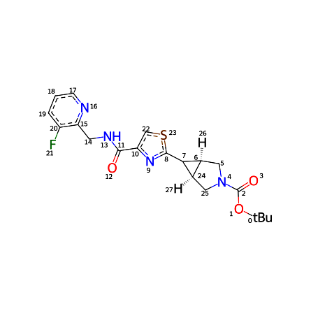 CC(C)(C)OC(=O)N1C[C@@H]2C(c3nc(C(=O)NCc4ncccc4F)cs3)[C@@H]2C1